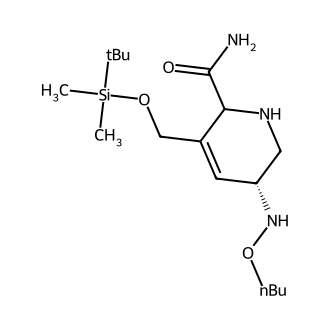 CCCCON[C@@H]1C=C(CO[Si](C)(C)C(C)(C)C)C(C(N)=O)NC1